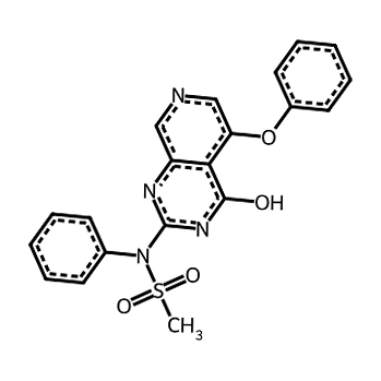 CS(=O)(=O)N(c1ccccc1)c1nc(O)c2c(Oc3ccccc3)cncc2n1